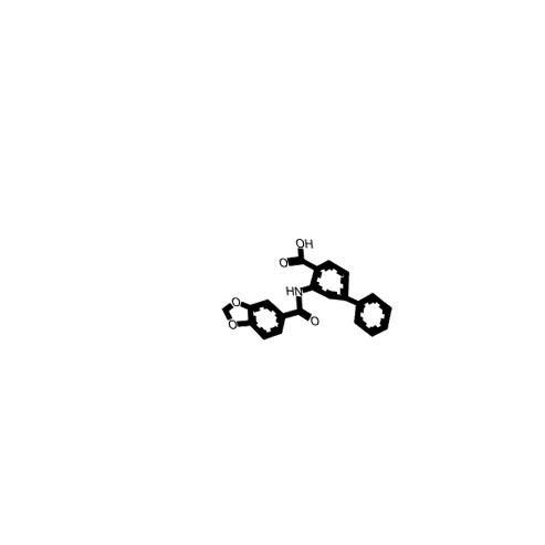 O=C(Nc1cc(-c2ccccc2)ccc1C(=O)O)c1ccc2c(c1)OCO2